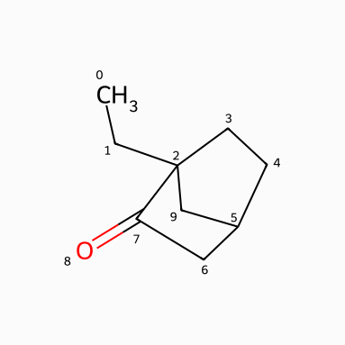 CCC12CCC(CC1=O)C2